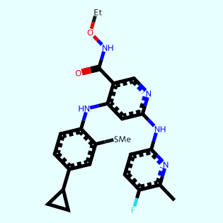 CCONC(=O)c1cnc(Nc2ccc(F)c(C)n2)cc1Nc1ccc(C2CC2)cc1SC